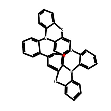 c1ccc2c(c1)Oc1cc(-c3ccccc3B3c4ccccc4Sc4ccccc43)cc3c1B2c1ccccc1O3